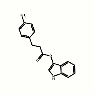 Nc1ccc(CCC(=O)Oc2c[nH]c3ccccc23)cc1